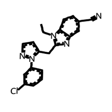 CCn1c(Cc2ccnn2-c2cccc(Cl)c2)nc2cc(C#N)ccc21